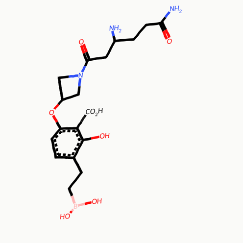 NC(=O)CCC(N)CC(=O)N1CC(Oc2ccc(CCB(O)O)c(O)c2C(=O)O)C1